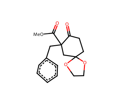 COC(=O)C1(Cc2ccccc2)CC2(CCC1=O)OCCO2